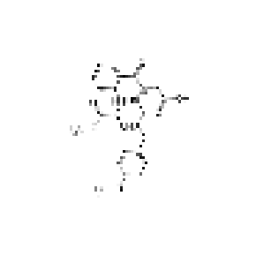 COC(=O)C(C)Nc1ccccc1C(=O)[C@H](CC(=O)O)NCCCc1ccc(OC)cc1